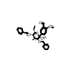 CC[C@H]1OC(O)(c2ccc(OC)c(C=O)c2)[C@H](OCc2ccccc2)[C@@H](C)[C@@H]1OCc1ccccc1